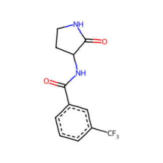 O=C(NC1CCNC1=O)c1cccc(C(F)(F)F)c1